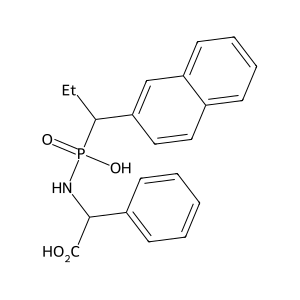 CCC(c1ccc2ccccc2c1)P(=O)(O)NC(C(=O)O)c1ccccc1